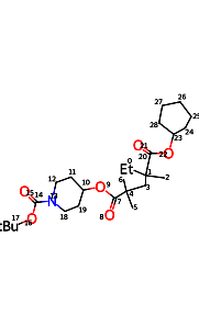 CCC(C)(CC(C)(C)C(=O)OC1CCN(C(=O)OC(C)(C)C)CC1)C(=O)OC1CCCCC1